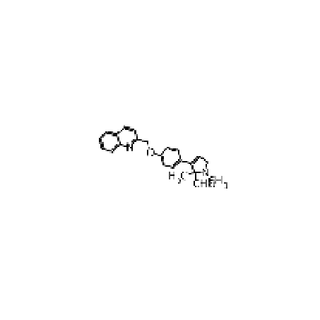 CN1CC=C(c2ccc(OCc3ccc4ccccc4n3)cc2)C1(C)C=O